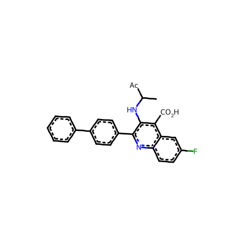 CC(=O)C(C)Nc1c(-c2ccc(-c3ccccc3)cc2)nc2ccc(F)cc2c1C(=O)O